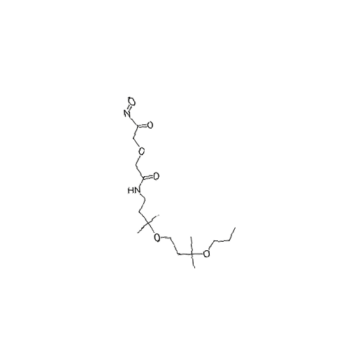 CCCOC(C)(C)CCOC(C)(C)CCNC(=O)COCC(=O)N=O